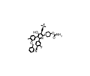 Cc1ccc(-c2c(-c3ccc(C#N)c(F)c3)nc(N3CCC(OC(N)=O)CC3)c(C#C[Si](C)(C)C)c2O)cc1OCc1ccccc1